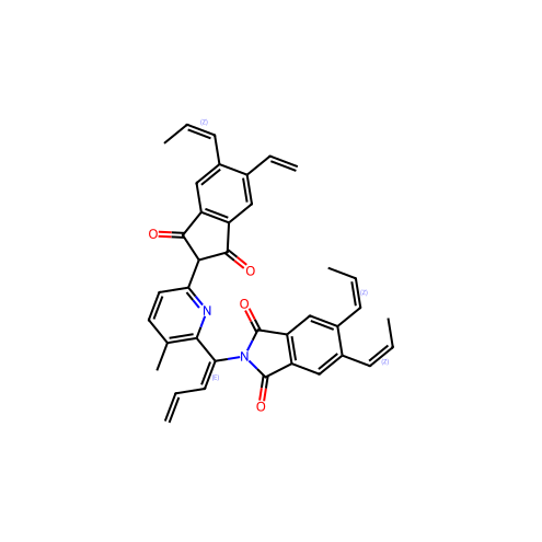 C=C/C=C(\c1nc(C2C(=O)c3cc(C=C)c(/C=C\C)cc3C2=O)ccc1C)N1C(=O)c2cc(/C=C\C)c(/C=C\C)cc2C1=O